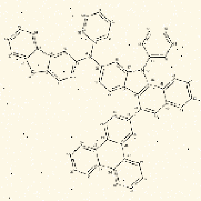 c1ccc(N(c2ccc3sc4ccccc4c3c2)c2ccc3c4c(-c5ccc6c7ccccc7c7ccccc7c6c5)cc5ccccc5c4n(-c4ccccc4)c3c2)cc1